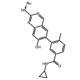 CC[C@H](C)Nc1ncc2cc(-c3cc(C(=O)NC4CC4)ccc3C)c(O)cc2n1